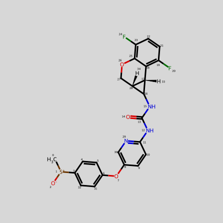 C[S+]([O-])c1ccc(Oc2ccc(NC(=O)NC3[C@H]4c5c(F)ccc(F)c5OC[C@@H]34)nc2)cc1